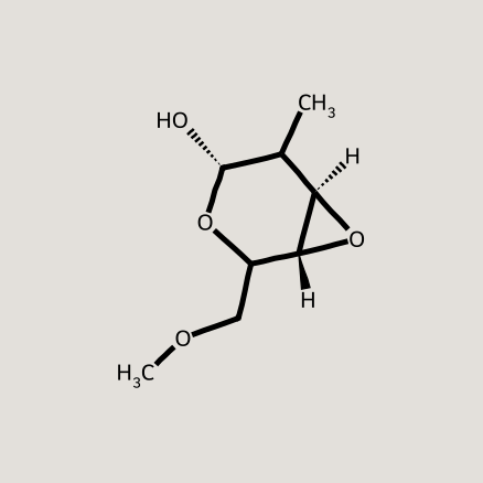 COCC1O[C@H](O)C(C)[C@H]2O[C@H]12